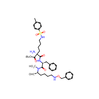 Cc1ccc(S(=O)(=O)NCCCC[C@@](N)(C(=O)N[C@@H](Cc2ccccc2)C(=O)N(C(=O)O)[C@H](C=O)CCCCNOCc2ccccc2)C(=O)OCC(C)C)cc1